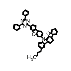 CCCCc1ccc2c(c1)c1ccc3c4ccccc4oc3c1n2-c1ccc2c(c1)oc1cc(-c3nc(-c4ccccc4)nc(-c4ccccc4)n3)ccc12